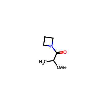 COC(C)C(=O)N1CCC1